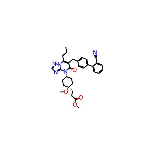 CCCc1c(Cc2ccc(-c3ccccc3C#N)cc2)c(=O)n([C@H]2CC[C@](CCC(=O)OC)(OC)CC2)c2ncnn12